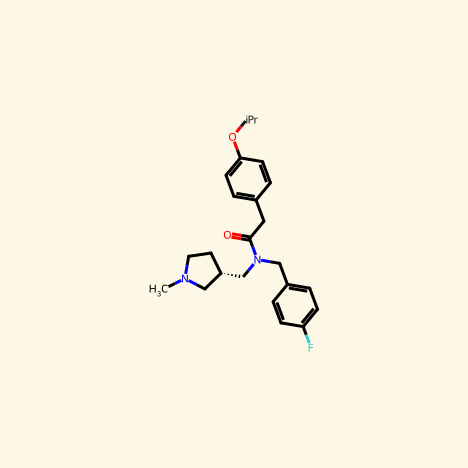 CC(C)Oc1ccc(CC(=O)N(Cc2ccc(F)cc2)C[C@H]2CCN(C)C2)cc1